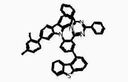 Cc1ccc(-c2ccc3c4ccccc4n(-c4ccc(-c5cccc6sc7ccccc7c56)cc4-c4nc(-c5ccccc5)nc(-c5ccccc5)n4)c3c2)c(C)c1